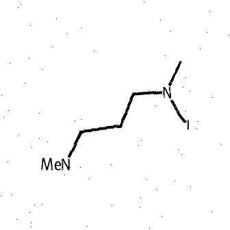 CNCCCN(C)I